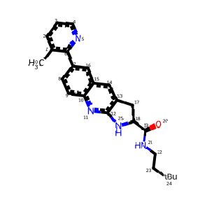 Cc1cccnc1-c1ccc2nc3c(cc2c1)CC(C(=O)NCCC(C)(C)C)N3